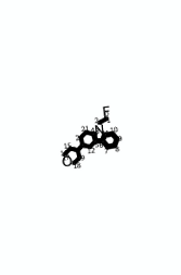 FCCn1c2c(c3ccccc31)CC(C1CCOCC1)CC2